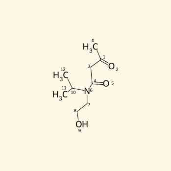 CC(=O)CC(=O)N(CCO)C(C)C